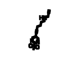 C#CCNCCCCC#Cc1cnc(S(C)(=O)=O)nc1